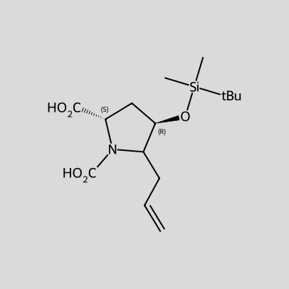 C=CCC1[C@H](O[Si](C)(C)C(C)(C)C)C[C@@H](C(=O)O)N1C(=O)O